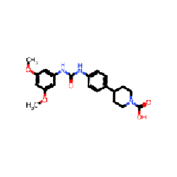 COc1cc(NC(=O)Nc2ccc(C3CCN(C(=O)O)CC3)cc2)cc(OC)c1